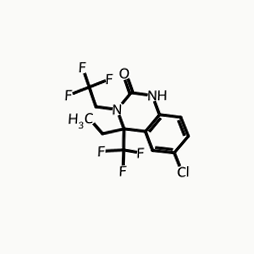 CCC1(C(F)(F)F)c2cc(Cl)ccc2NC(=O)N1CC(F)(F)F